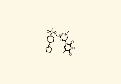 Cc1cn(C2CN(C)C[C@@H](COP(C)(=O)N3CCC(N4CCCC4)CC3)O2)c(=O)[nH]c1=O